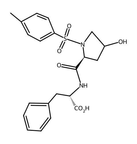 Cc1ccc(S(=O)(=O)N2CC(O)C[C@H]2C(=O)N[C@@H](Cc2ccccc2)C(=O)O)cc1